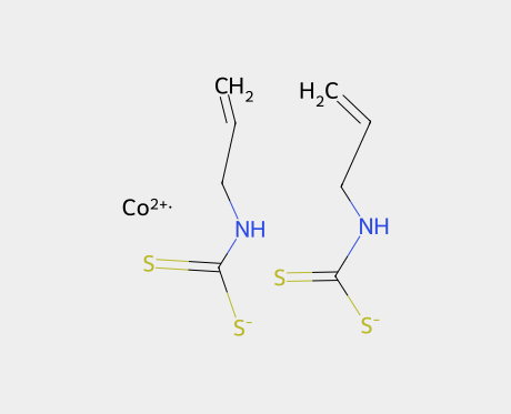 C=CCNC(=S)[S-].C=CCNC(=S)[S-].[Co+2]